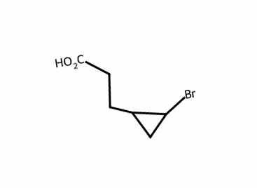 O=C(O)CCC1CC1Br